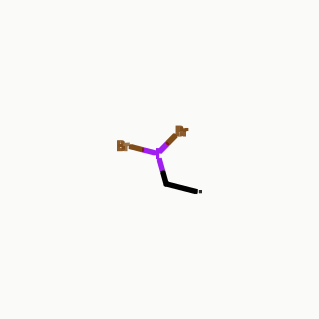 [CH2]CI(Br)Br